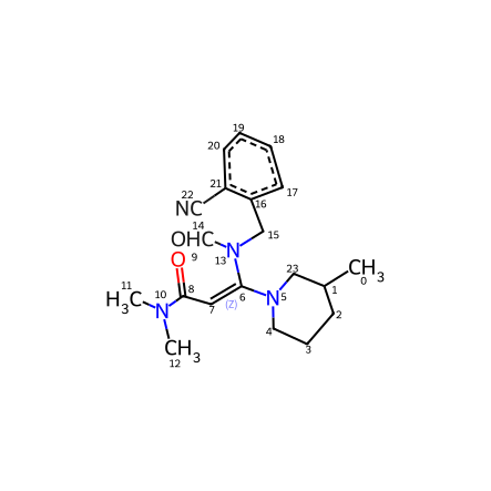 CC1CCCN(/C(=C/C(=O)N(C)C)N(C=O)Cc2ccccc2C#N)C1